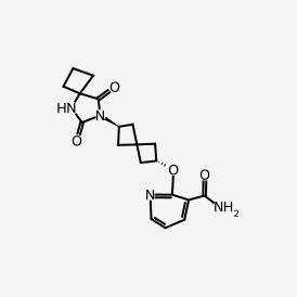 NC(=O)c1cccnc1O[C@H]1CC2(C1)C[C@H](N1C(=O)NC3(CCC3)C1=O)C2